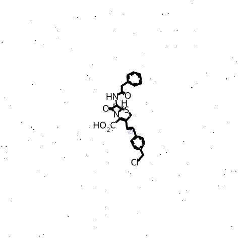 O=C(Cc1ccccc1)N[C@@H]1C(=O)N2C(C(=O)O)=C(/C=C/c3ccc(CCl)cc3)CS[C@H]12